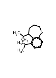 CC(C)c1cccc2c1C(C(C)C)CCCS2